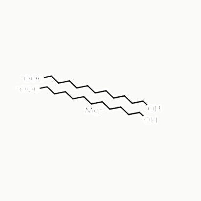 O=C([O-])CCCCCCCCCCCO.O=C([O-])CCCCCCCCCCCO.[Mg+2]